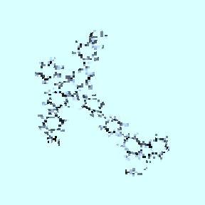 CCn1c2ccccc2c2cc(-c3ccc(-c4ccc(-c5c6ccc(-c7ccc(C)cc7)cc6c(-c6ccccc6)c6ccc(-c7ccc(C)cc7)cc56)cc4)cc3)ccc21